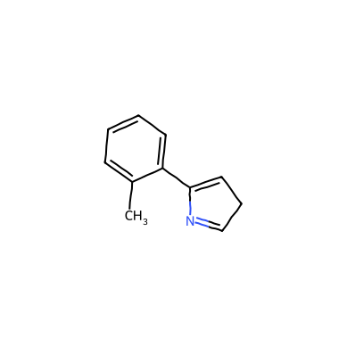 Cc1ccccc1C1=CCC=N1